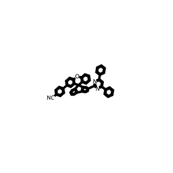 N#Cc1ccc(-c2ccc3c(c2)C2(c4ccccc4O3)c3ccccc3-c3ccc(-c4nc(-c5ccccc5)cc(-c5ccccc5)n4)cc32)cc1